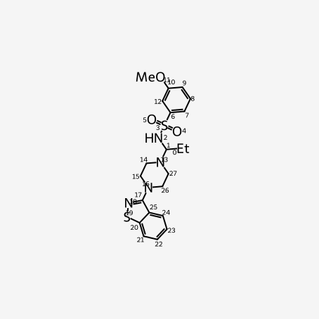 CCC(NS(=O)(=O)c1cccc(OC)c1)N1CCN(c2nsc3ccccc23)CC1